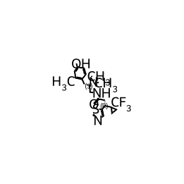 Cc1cc(O)ccc1C[C@@H](CNC(=O)C[C@@H](c1cncs1)C1(C(F)(F)F)CC1)N(C)C